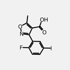 Cc1onc(-c2cc(I)ccc2F)c1C(=O)O